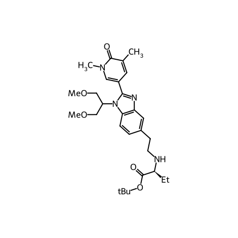 CC[C@H](NCCc1ccc2c(c1)nc(-c1cc(C)c(=O)n(C)c1)n2C(COC)COC)C(=O)OC(C)(C)C